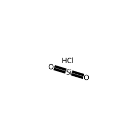 Cl.O=[Si]=O